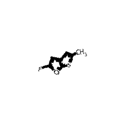 Cc1cc2cc(F)oc2s1